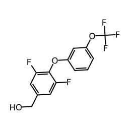 OCc1cc(F)c(Oc2cccc(OC(F)(F)F)c2)c(F)c1